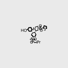 CC(C)CS(=O)(=O)N(C)C1=CCC([C@H]2CN(S(=O)(=O)c3cccs3)CCN2c2ccc(O)cc2)C=C1